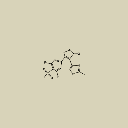 Cc1nc(C2=C(c3cc(F)c(S(C)(=O)=O)c(F)c3)COC2=O)cs1